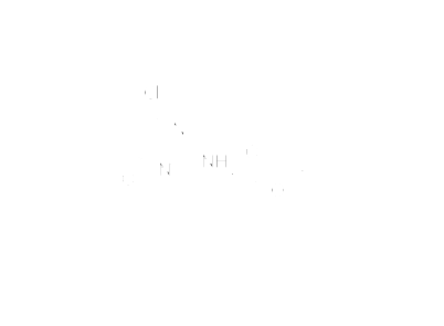 CC(C)(C)OC(=O)c1cccc(Cn2c(N)nc(Cl)cc2=O)c1